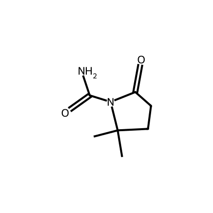 CC1(C)CCC(=O)N1C(N)=O